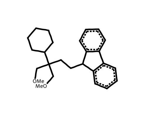 COCC(CCC1c2ccccc2-c2ccccc21)(COC)C1CCCCC1